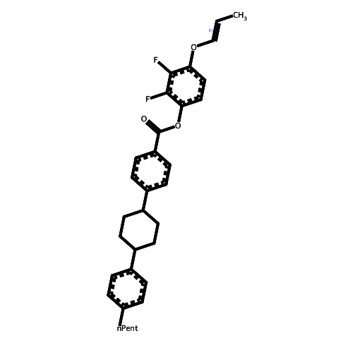 C/C=C/Oc1ccc(OC(=O)c2ccc(C3CCC(c4ccc(CCCCC)cc4)CC3)cc2)c(F)c1F